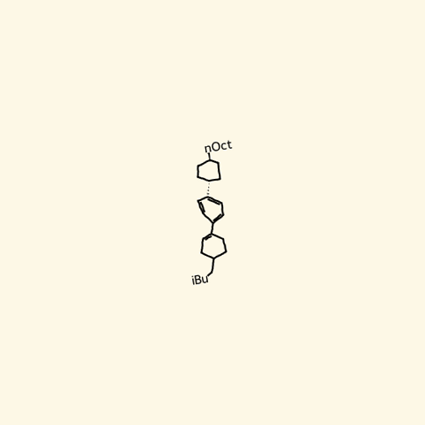 CCCCCCCC[C@H]1CC[C@H](c2ccc(C3=CCC(CC(C)CC)CC3)cc2)CC1